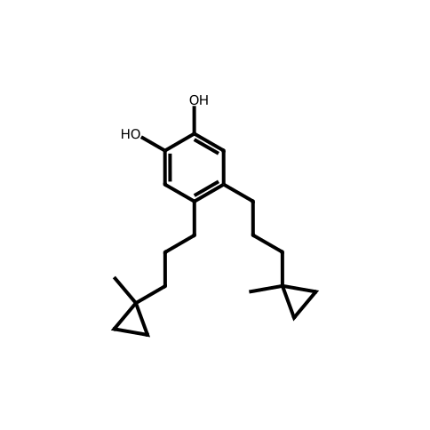 CC1(CCCc2cc(O)c(O)cc2CCCC2(C)CC2)CC1